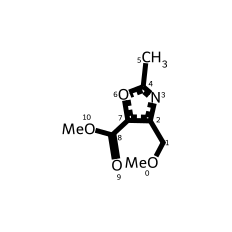 COCc1nc(C)oc1C(=O)OC